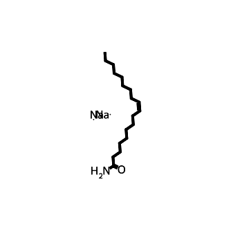 CCCCCCCC/C=C\CCCCCCCC(N)=O.[Na].[Na]